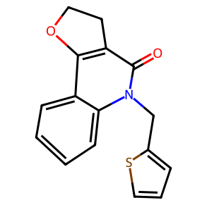 O=c1c2c(c3ccccc3n1Cc1cccs1)OCC2